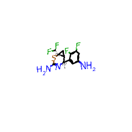 C[C@]1(c2cc(N)cc(F)c2F)N=C(N)S[C@@]2(C(F)F)CC21